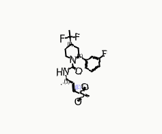 C[C@@H](/C=C/S(C)(=O)=O)NC(=O)N1CC[C@@H](C(C)(F)F)C[C@H]1c1cccc(F)c1